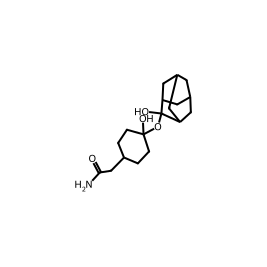 NC(=O)CC1CCC(O)(OC2(O)C3CC4CC(C3)CC2C4)CC1